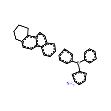 N.c1ccc(B(c2ccccc2)c2ccccc2)cc1.c1ccc2c(c1)ccc1c3c(ccc12)CCCC3